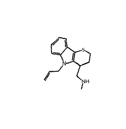 C=CCn1c2c(c3ccccc31)SCCC2CNC